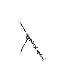 CCCCCCCCCCCCCCOCC(COCCOCCOCCOCCOCCOCCS)OCCCCCCCCCCCCCC